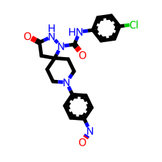 O=Nc1ccc(N2CCC3(CC2)CC(=O)NN3C(=O)Nc2ccc(Cl)cc2)cc1